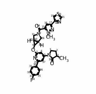 CC1CCN(c2cc(OC3[C@H]4CN(C(=O)c5cc(-c6cscn6)nn5C)C[C@@H]34)nc(-c3ccc(F)cc3)c2)C1=O